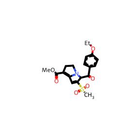 CCOc1ccc(C(=O)C2C(S(C)(=O)=O)=CC3=C(C(=O)OC)CCN32)cc1